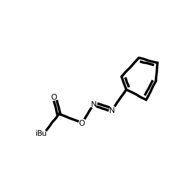 CCC(C)C(=O)ON=Nc1ccccc1